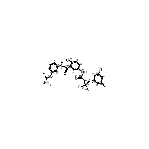 NC(=O)Oc1cccc(NC(=O)c2cc(NC(=O)[C@H]3[C@H](c4cc(Cl)cc(Cl)c4)C3(Cl)Cl)ccc2Cl)n1